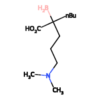 BC(CCCC)(CCCN(C)C)C(=O)O